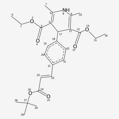 CCOC(=O)C1=C(C)NC(C)=C(C(=O)OCC)C1c1ccc(C=CC(=O)OC(C)(C)C)cc1